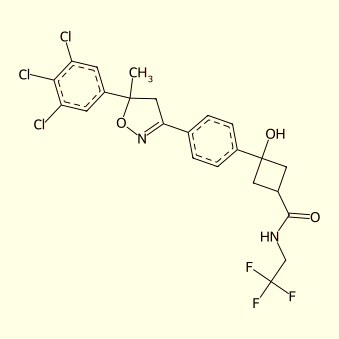 CC1(c2cc(Cl)c(Cl)c(Cl)c2)CC(c2ccc(C3(O)CC(C(=O)NCC(F)(F)F)C3)cc2)=NO1